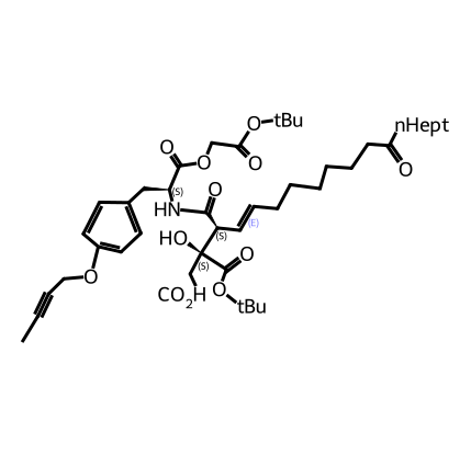 CC#CCOc1ccc(C[C@H](NC(=O)[C@@H](/C=C/CCCCCCC(=O)CCCCCCC)[C@@](O)(CC(=O)O)C(=O)OC(C)(C)C)C(=O)OCC(=O)OC(C)(C)C)cc1